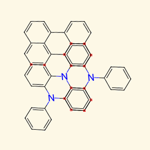 c1ccc(N(c2ccccc2)c2ccccc2N(c2ccccc2N(c2ccccc2)c2ccccc2)c2ccc3cccc4c5cccc6cccc(c2c34)c65)cc1